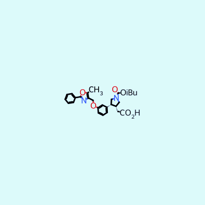 Cc1oc(-c2ccccc2)nc1COc1cccc([C@@H]2CN(C(=O)OCC(C)C)C[C@@H]2CC(=O)O)c1